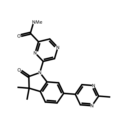 CNC(=O)c1cncc(N2C(=O)C(C)(C)c3ccc(-c4cnc(C)nc4)cc32)n1